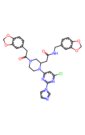 O=C(CC1CN(C(=O)Cc2ccc3c(c2)OCO3)CCN1c1cc(Cl)nc(-n2ccnc2)n1)NCc1ccc2c(c1)OCO2